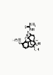 CN1CC[C@]23c4c5ccc(O)c4O[C@H]2C(=NNC(N)=S)CC[C@H]3[C@H]1C5.Cl